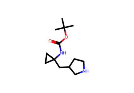 CC(C)(C)OC(=O)NC1(CC2CCNC2)CC1